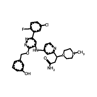 CN1CCN(C(CC(N)=O)c2cc(Nc3cc(-c4cc(Cl)ccc4F)nnc3OCc3cccc(O)c3)ccn2)CC1